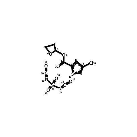 O=C(OC1CCO1)c1cc(Cl)cs1.O=C=NS(=O)(=O)N=C=O